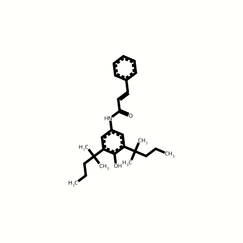 CCCC(C)(C)c1cc(NC(=O)C=Cc2ccccc2)cc(C(C)(C)CCC)c1O